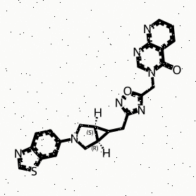 O=c1c2cccnc2ncn1Cc1nc(CC2[C@H]3CN(c4ccc5ncsc5c4)C[C@@H]23)no1